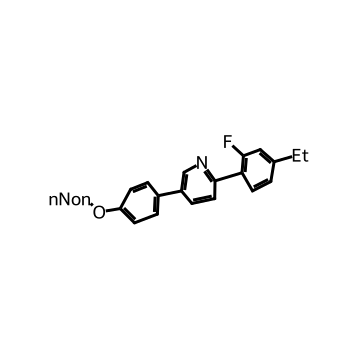 CCCCCCCCCOc1ccc(-c2ccc(-c3ccc(CC)cc3F)nc2)cc1